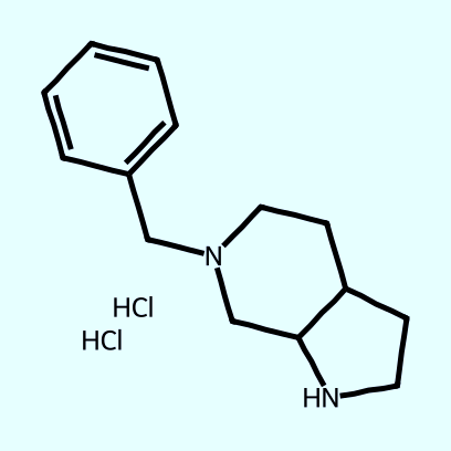 Cl.Cl.c1ccc(CN2CCC3CCNC3C2)cc1